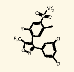 NS(=O)(=O)c1cc(F)c(-c2c(-c3cc(Cl)cc(Cl)c3)noc2C(F)(F)F)cc1F